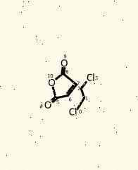 ClCCCl.O=C1C=CC(=O)O1